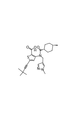 Cn1cc(CN(c2cc(C#CC(C)(C)C)sc2C(=O)O)C(=O)[C@H]2CC[C@@H](C)CC2)cn1